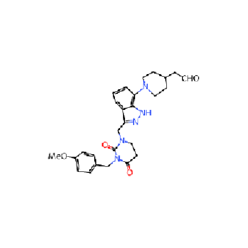 COc1ccc(CN2C(=O)CCN(Cc3n[nH]c4c(N5CCC(CC=O)CC5)cccc34)C2=O)cc1